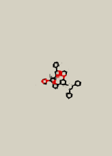 FC(F)(F)c1ccc(-c2ccc3c(c2)c2cc(-c4ccc(C(F)(F)F)cc4C(F)(F)F)ccc2n3-c2c(-c3ccccc3C(F)(F)F)cc(-c3nc(-c4ccccc4)cc(-c4ccccc4)n3)cc2-c2ccccc2C(F)(F)F)c(C(F)(F)F)c1